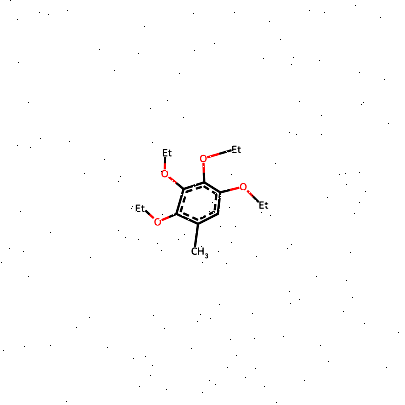 CCOc1cc(C)c(OCC)c(OCC)c1OCC